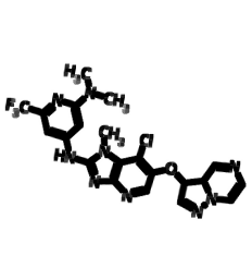 CN(C)c1cc(Nc2nc3ncc(OC4C=NN5C=CN=CC45)c(Cl)c3n2C)cc(C(F)(F)F)n1